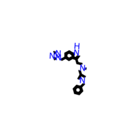 CN(CCc1c[nH]c2ccc(Cn3cncn3)cc12)CC1CN(Cc2ccccc2)C1